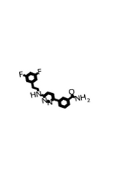 NC(=O)c1cccc(-c2ccc(NCCc3cc(F)cc(F)c3)nn2)c1